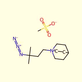 CC(C)(CC[N+]12CCC(CC1)CC2)N=[N+]=[N-].CS(=O)(=O)[O-]